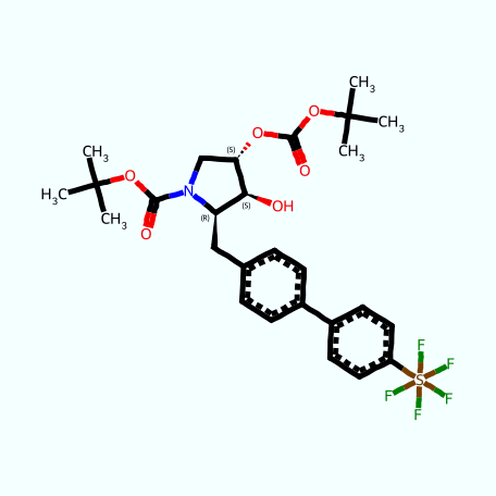 CC(C)(C)OC(=O)O[C@H]1CN(C(=O)OC(C)(C)C)[C@H](Cc2ccc(-c3ccc(S(F)(F)(F)(F)F)cc3)cc2)[C@@H]1O